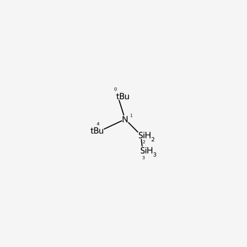 CC(C)(C)N([SiH2][SiH3])C(C)(C)C